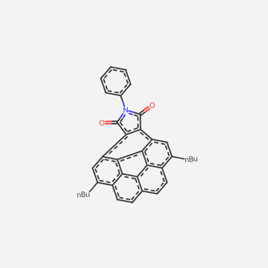 CCCCc1cc2c3c(=O)n(-c4ccccc4)c(=O)c3c3cc(CCCC)c4ccc5ccc1c1c5c4c3c21